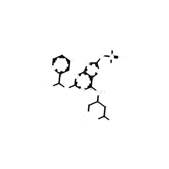 CC(C)CC(CO)Nc1nc(SC(C)c2ccccn2)nc2nc(NP(=O)(O)O)sc12